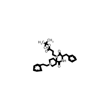 CC(C)(C)OC(=O)CCN1C(=O)C(Cc2ccccc2)NC(=O)C12CCN(CCc1ccccc1)CC2